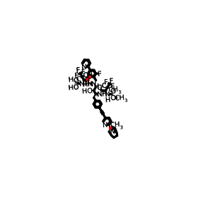 CCN1C2CCC1CN(c1ccc(C#Cc3ccc(C[C@H](NC(=O)[C@@H](NC(=O)OC)C(C)(C)C(F)(F)F)[C@@H](O)CN(Cc4c(F)cc(-c5ccccn5)cc4F)NC(=O)[C@@H](NC(=O)O)C(C)(C)C(F)(F)F)cc3)cn1)C2